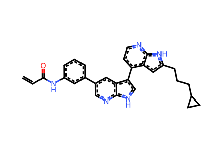 C=CC(=O)Nc1cccc(-c2cnc3[nH]cc(-c4ccnc5[nH]c(CCCC6CC6)cc45)c3c2)c1